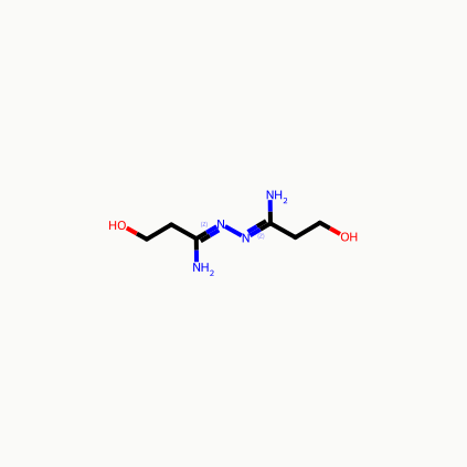 N/C(CCO)=N\N=C(/N)CCO